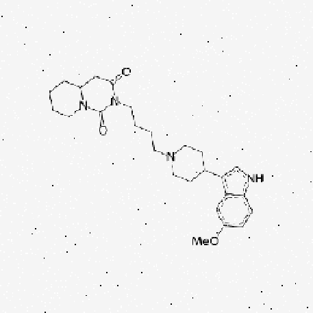 COc1ccc2[nH]cc(C3CCN(CCCCN4C(=O)CC5CCCCN5C4=O)CC3)c2c1